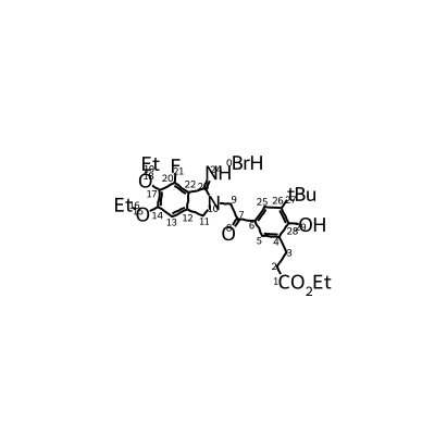 Br.CCOC(=O)CCc1cc(C(=O)CN2Cc3cc(OCC)c(OCC)c(F)c3C2=N)cc(C(C)(C)C)c1O